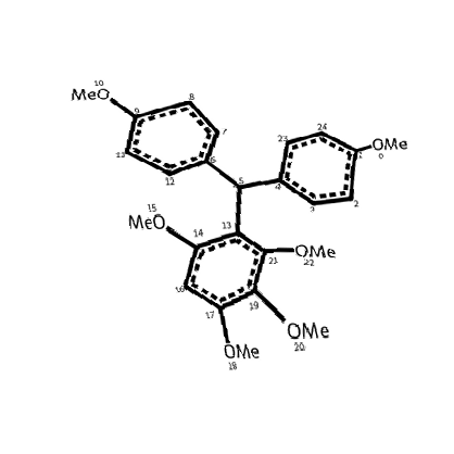 COc1ccc([C](c2ccc(OC)cc2)c2c(OC)cc(OC)c(OC)c2OC)cc1